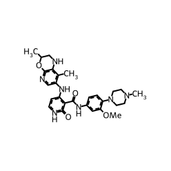 COc1cc(NC(=O)c2c(Nc3cnc4c(c3C)NCC(C)O4)cc[nH]c2=O)ccc1N1CCN(C)CC1